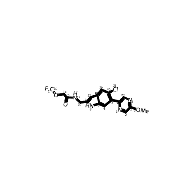 COc1cnc(-c2cc3[nH]c(CNC(=O)COC(F)(F)F)cc3cc2Cl)cn1